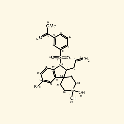 C=CCC1N(S(=O)(=O)c2cccc(C(=O)OC)c2)c2ccc(Br)cc2C12CCS(O)(O)CC2